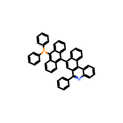 c1ccc(-c2nc3ccccc3c3c2cc(-c2c4ccccc4c(P(c4ccccc4)c4ccccc4)c4ccccc24)c2ccccc23)cc1